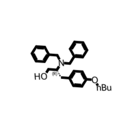 CCCCOc1ccc(C[C@H](CO)N(Cc2ccccc2)Cc2ccccc2)cc1